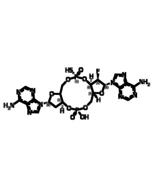 Nc1ncnc2c1ncn2[C@@H]1O[C@@H]2COP(=O)(O)O[C@H]3C[C@H](n4cnc5c(N)ncnc54)OC3CO[P@](=O)(S)O[C@H]2[C@H]1F